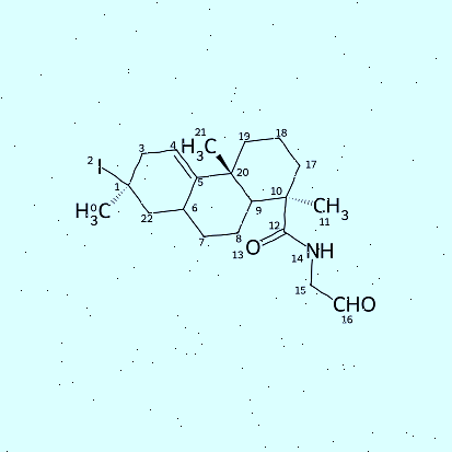 C[C@]1(I)CC=C2C(CCC3[C@](C)(C(=O)NCC=O)CCC[C@@]23C)C1